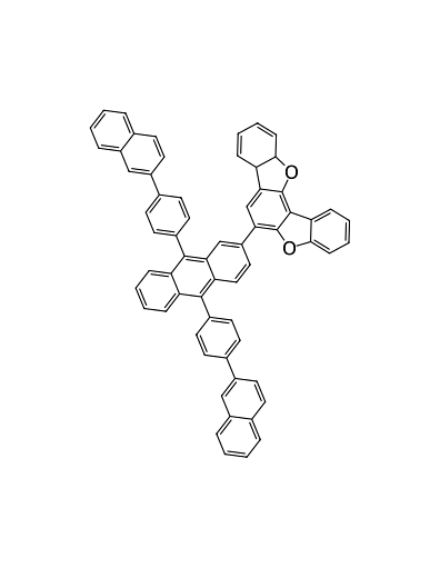 C1=CC2Oc3c(cc(-c4ccc5c(-c6ccc(-c7ccc8ccccc8c7)cc6)c6ccccc6c(-c6ccc(-c7ccc8ccccc8c7)cc6)c5c4)c4oc5ccccc5c34)C2C=C1